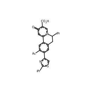 CC(=O)c1cc2c(cc1-c1csc(C(C)C)n1)CC(C(C)C)n1cc(C(=O)O)c(=O)cc1-2